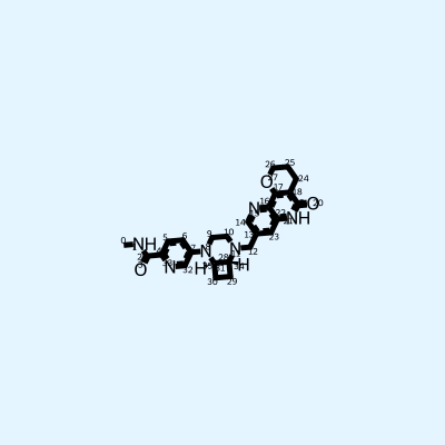 CNC(=O)c1ccc(N2CCN(Cc3cnc4c5c(c(=O)[nH]c4c3)CCCO5)[C@@H]3CC[C@H]32)cn1